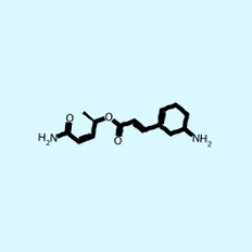 C[C@H](/C=C\C(N)=O)OC(=O)/C=C/C1=CCCC(N)C1